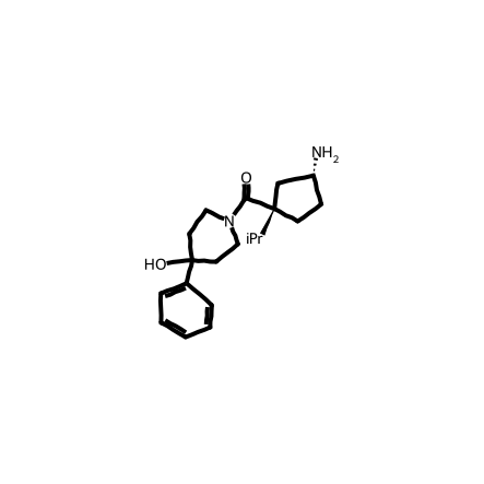 CC(C)[C@]1(C(=O)N2CCC(O)(c3ccccc3)CC2)CC[C@@H](N)C1